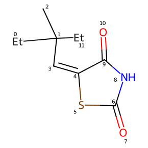 CCC(C)(/C=C1/SC(=O)NC1=O)CC